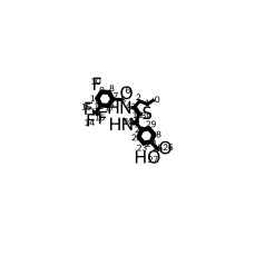 CC1CC(NC(=O)c2cc(F)cc(C(F)(F)F)c2)=C(C(=N)c2ccc(C(=O)O)cc2)S1